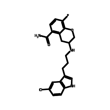 NC(=O)c1ccc(F)c2c1CC(NCCCc1c[nH]c3ccc(Cl)cc13)CO2